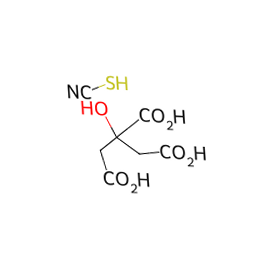 N#CS.O=C(O)CC(O)(CC(=O)O)C(=O)O